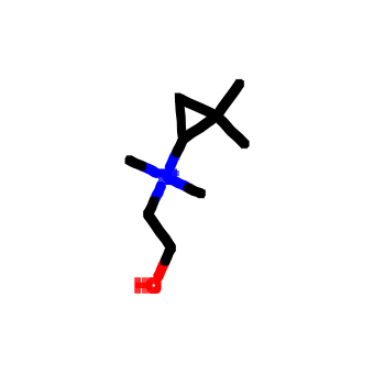 CC1(C)CC1[N+](C)(C)CCO